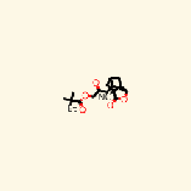 CCC(C)(C)C(=O)OCC(=O)CC1C2CC3C1OC(=O)C3(C#N)C2